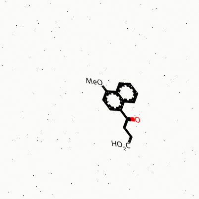 COc1ccc(C(=O)CCC(=O)O)c2ccccc12